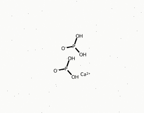 [Ca+2].[O-]P(O)O.[O-]P(O)O